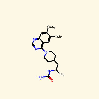 COc1cc2ncnc(N3CCC(CC(C)NC(N)=O)CC3)c2cc1OC